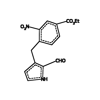 CCOC(=O)c1ccc(Cc2cc[nH]c2C=O)c([N+](=O)[O-])c1